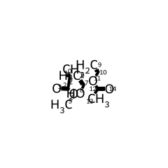 C=CC(=O)OC.C=CO.C=COC(C)=O